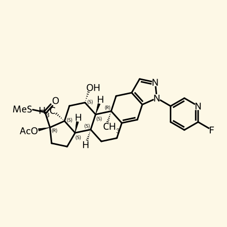 CSC(=O)[C@@]1(OC(C)=O)CC[C@H]2[C@@H]3CCC4=Cc5c(cnn5-c5ccc(F)nc5)C[C@]4(C)[C@H]3[C@@H](O)C[C@@]21C